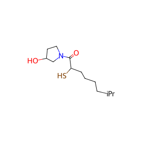 CC(C)CCCCC(S)C(=O)N1CCC(O)C1